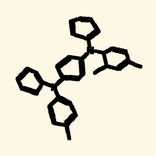 CC1=CC(C)C(N(c2ccccc2)c2ccc(N(c3ccccc3)c3ccc(C)cc3)cc2)C=C1